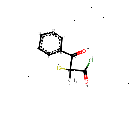 CC(S)(C(=O)Cl)C(=O)c1ccccc1